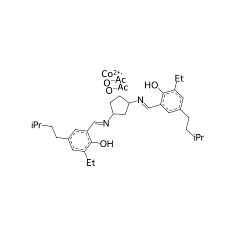 CC(=O)[O-].CC(=O)[O-].CCc1cc(CCC(C)C)cc(C=NC2CCC(N=Cc3cc(CCC(C)C)cc(CC)c3O)C2)c1O.[Co+2]